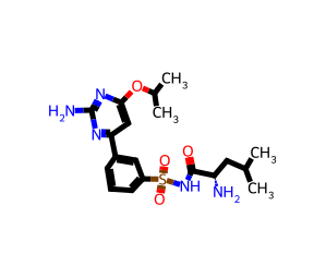 CC(C)C[C@H](N)C(=O)NS(=O)(=O)c1cccc(-c2cc(OC(C)C)nc(N)n2)c1